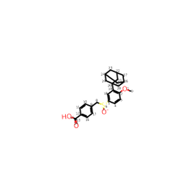 COc1ccc([S+]([O-])Cc2ccc(C(=O)O)cc2)cc1C12CC3CC(CC(C3)C1)C2